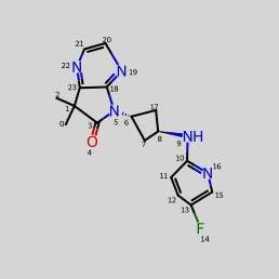 CC1(C)C(=O)N([C@H]2C[C@H](Nc3ccc(F)cn3)C2)c2nccnc21